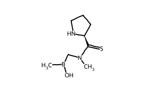 CB(O)CN(C)C(=S)[C@@H]1CCCN1